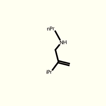 C=C(CNCCC)C(C)C